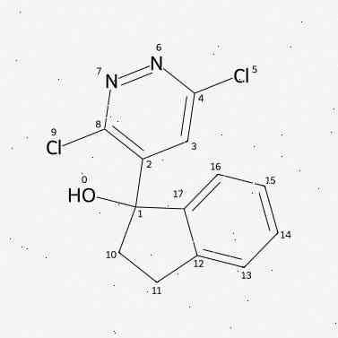 OC1(c2cc(Cl)nnc2Cl)CCc2ccccc21